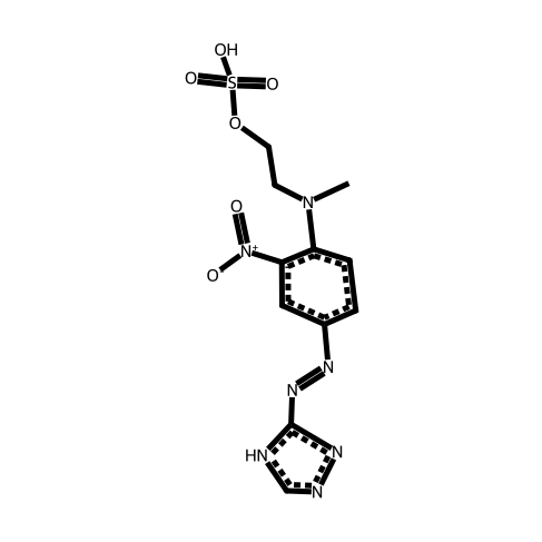 CN(CCOS(=O)(=O)O)c1ccc(N=Nc2nnc[nH]2)cc1[N+](=O)[O-]